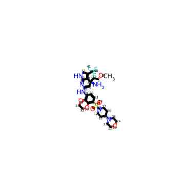 COCCC1(N)C=C(Nc2ccc(S(=O)(=O)N3CCC(N4CCOCC4)CC3)c3c2OCCO3)N=C2NCC(C(F)(F)F)=C21